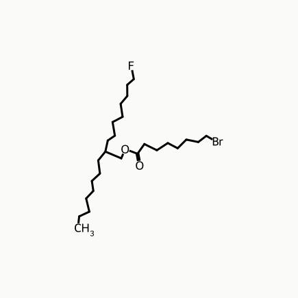 CCCCCCCCC(CCCCCCCCF)COC(=O)CCCCCCCBr